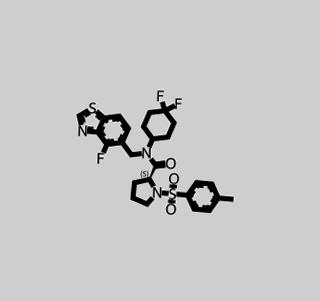 Cc1ccc(S(=O)(=O)N2CCC[C@H]2C(=O)N(Cc2ccc3scnc3c2F)C2CCC(F)(F)CC2)cc1